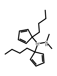 CCCC[C]1([Hf]([SiH](C)C)[C]2(CCCC)C=CC=C2)C=CC=C1